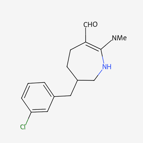 CNC1=C(C=O)CCC(Cc2cccc(Cl)c2)CN1